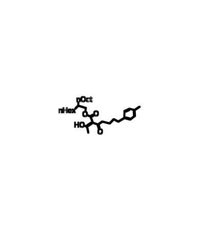 CCCCCCCCC(CCCCCC)COC(=O)/C(C(=O)CCCCc1ccc(C)cc1)=C(/C)O